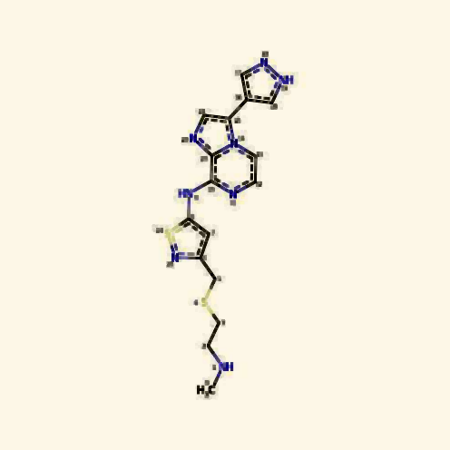 CNCCSCc1cc(Nc2nccn3c(-c4cn[nH]c4)cnc23)sn1